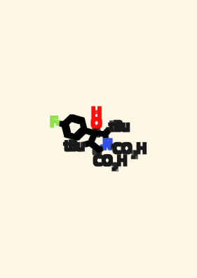 CC(C)(C)C1[C@@H](C(=O)O)N(C(=O)O)C(C(C)(C)C)[C@]1(O)c1ccc(F)cc1